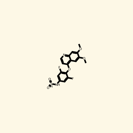 COc1cc2nccc(Oc3c(F)cc(N[SH](=O)=O)cc3F)c2cc1OC